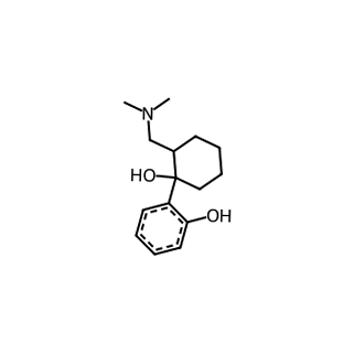 CN(C)CC1CCCCC1(O)c1ccccc1O